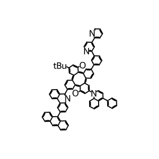 CC(C)(C)c1cc2oc3c(-c4cccc(-c5cc(-c6ccccn6)ccn5)c4)ccc4c5cc(N6C=CC(c7ccccc7)=C7C=CC=CC76)cc6oc7c(-c8nc9ccc(-c%10c%11ccccc%11cc%11ccccc%10%11)cc9c9ccccc89)ccc(c(c1)c2c34)c7c65